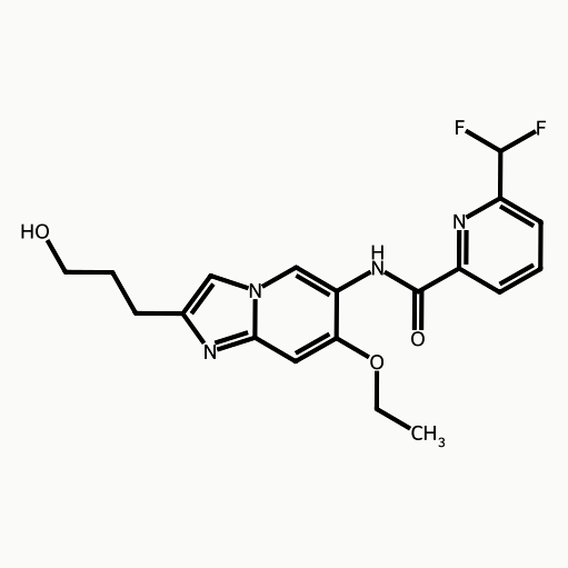 CCOc1cc2nc(CCCO)cn2cc1NC(=O)c1cccc(C(F)F)n1